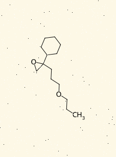 CCCOCCCC1(C2CCCCC2)[CH]O1